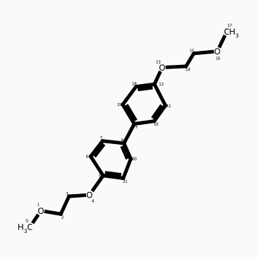 COCCOc1ccc(-c2ccc(OCCOC)cc2)cc1